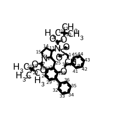 CCS(=O)(=O)N(C(=O)OC(C)(C)C)C1CCN(C(=O)OC(C)(C)C)C1Cc1cccc(-c2ccccc2)c1OCc1ccccc1